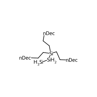 CCCCCCCCCCCC[Si](CCCCCCCCCCCC)(CCCCCCCCCCCC)[SiH2][SiH3]